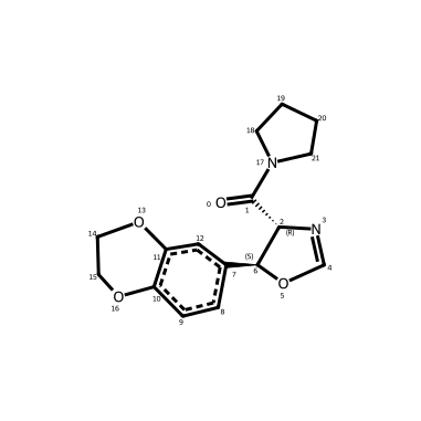 O=C([C@@H]1N=CO[C@H]1c1ccc2c(c1)OCCO2)N1CCCC1